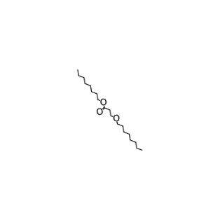 CCCCCCCCOCCC(=O)OCCCCCCCC